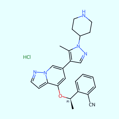 Cc1c(-c2cc(O[C@H](C)c3ccccc3C#N)c3ccnn3c2)cnn1C1CCNCC1.Cl